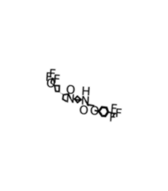 O=C(COc1ccc(C(F)(F)F)cc1)NC12CC(N3CCC([C@H]4C[C@H](OC(F)(F)F)C4)C3=O)(C1)C2